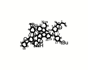 C/C=C\C1=C(C)C2CC=C(N(c3ccc(C(C)(C)C)cc3)c3ccc4c(c3)C3(C(C)=C(/C=C\C)c5ccccc53)c3cc(N(c5ccc(C(C)(C)C)cc5)c5ccc6c(c5)oc5ccccc56)c5c(c3-4)OC3NCC=CC53)C=C2O1